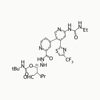 CCNC(=O)Nc1cc(-c2nc(C(F)(F)F)cs2)c(-c2ccnc(C(=O)NN[C@@H](OC(=O)NC(C)(C)C)C(C=O)C(C)C)c2)cn1